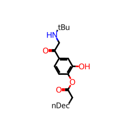 CCCCCCCCCCCC(=O)Oc1ccc(C(=O)CNC(C)(C)C)cc1O